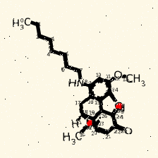 CCCCCCCCNc1cc(OC)c2c3c1C[C@@H]1[C@@H]4C=CC(=O)[C@H](O2)[C@]34CCN1C